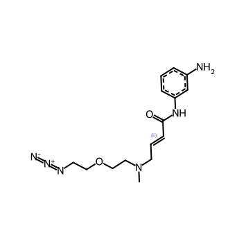 CN(C/C=C/C(=O)Nc1cccc(N)c1)CCOCCN=[N+]=[N-]